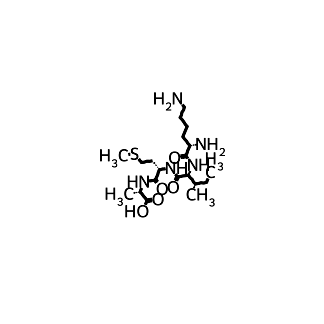 CC[C@H](C)[C@H](NC(=O)[C@@H](N)CCCCN)C(=O)N[C@@H](CCSC)C(=O)N[C@@H](C)C(=O)O